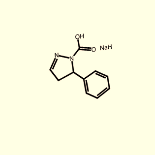 O=C(O)N1N=CCC1c1ccccc1.[NaH]